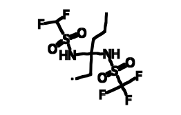 [CH2]CC(CCC)(NS(=O)(=O)C(F)F)NS(=O)(=O)C(F)(F)F